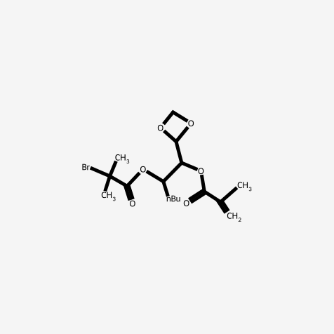 C=C(C)C(=O)OC(C(CCCC)OC(=O)C(C)(C)Br)C1OCO1